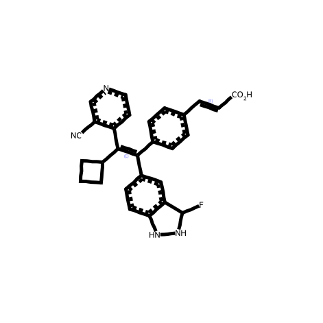 N#Cc1cnccc1/C(=C(\c1ccc(/C=C/C(=O)O)cc1)c1ccc2c(c1)C(F)NN2)C1CCC1